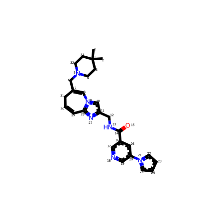 CC1(C)CCN(CC2=Cn3cc(CNC(=O)c4cncc(-n5cccc5)c4)nc3C=CC2)CC1